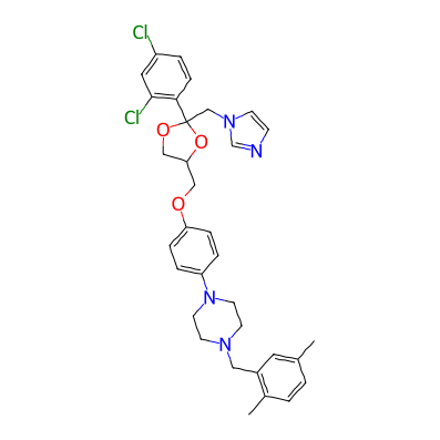 Cc1ccc(C)c(CN2CCN(c3ccc(OCC4COC(Cn5ccnc5)(c5ccc(Cl)cc5Cl)O4)cc3)CC2)c1